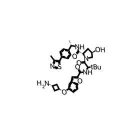 Cc1ncsc1-c1ccc([C@H](C)NC(=O)[C@@H]2C[C@@H](O)CN2C(=O)C(NC(=O)c2cc3cc(O[C@H]4C[C@@H](N)C4)ccc3o2)C(C)(C)C)cc1